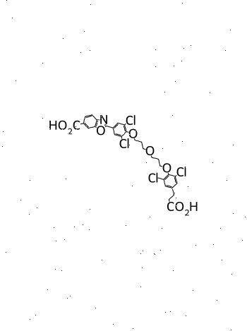 O=C(O)CCc1cc(Cl)c(OCCCOCCCOc2c(Cl)cc(-c3nc4ccc(C(=O)O)cc4o3)cc2Cl)c(Cl)c1